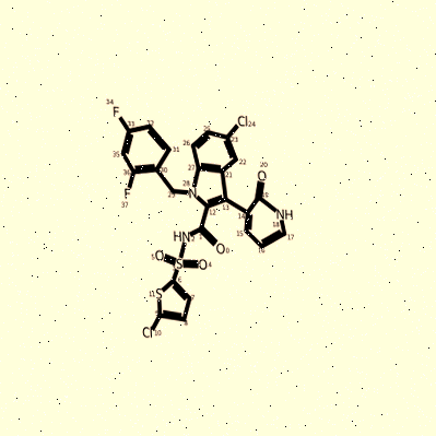 O=C(NS(=O)(=O)c1ccc(Cl)s1)c1c(-c2ccc[nH]c2=O)c2cc(Cl)ccc2n1Cc1ccc(F)cc1F